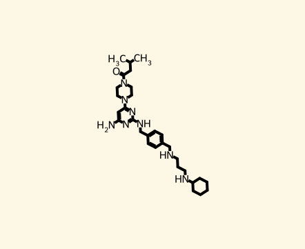 CC(C)CC(=O)N1CCN(c2cc(N)nc(NCc3ccc(CNCCCNC4CCCCC4)cc3)n2)CC1